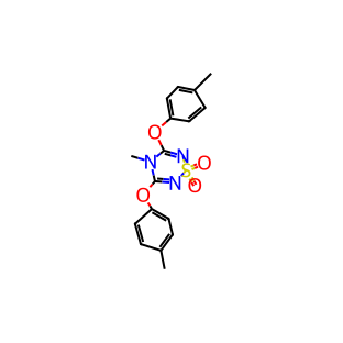 Cc1ccc(OC2=NS(=O)(=O)N=C(Oc3ccc(C)cc3)N2C)cc1